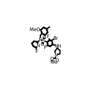 COc1cc(C)ccc1CN(c1cccc(F)n1)S(=O)(=O)c1c(F)cc(N[C@H]2CCN(C(=O)OC(C)(C)C)C2)c(Br)c1F